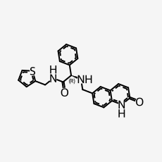 O=C(NCc1cccs1)[C@H](NCc1ccc2[nH]c(=O)ccc2c1)c1ccccc1